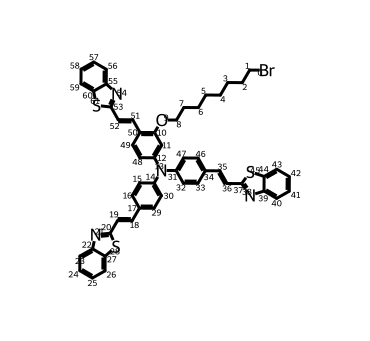 BrCCCCCCCCOc1cc(N(c2ccc(C=Cc3nc4ccccc4s3)cc2)c2ccc(C=Cc3nc4ccccc4s3)cc2)ccc1C=Cc1nc2ccccc2s1